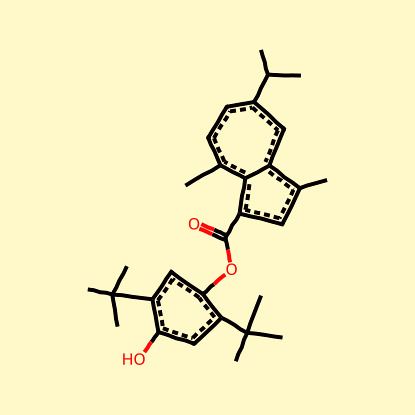 Cc1cc(C(=O)Oc2cc(C(C)(C)C)c(O)cc2C(C)(C)C)c2c(C)ccc(C(C)C)cc1-2